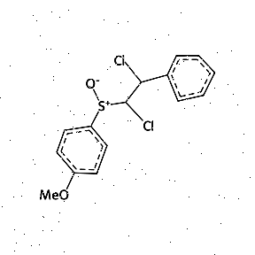 COc1ccc([S+]([O-])C(Cl)C(Cl)c2ccccc2)cc1